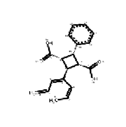 C=C/C=C(\C=C/C)[C@H]1[C@H](C(=O)O)[C@H](c2ccccc2)[C@H]1C(=O)O